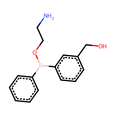 NCCOB(c1ccccc1)c1cccc(CO)c1